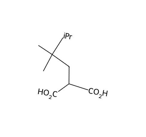 CC(C)C(C)(C)CC(C(=O)O)C(=O)O